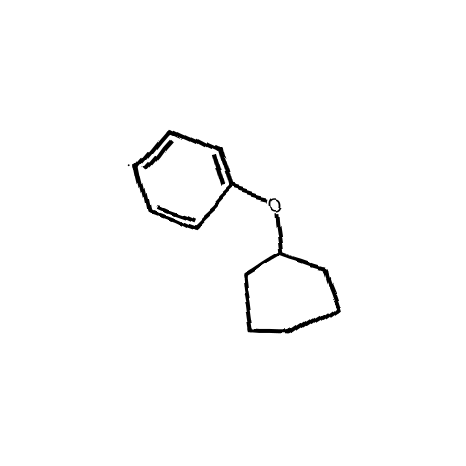 [c]1ccc(OC2CCCCC2)cc1